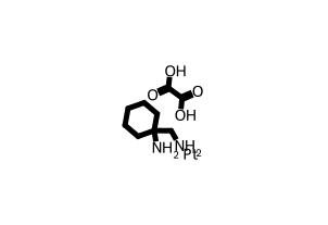 NCC1(N)CCCCC1.O=C(O)C(=O)O.[Pt]